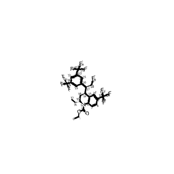 CCOC(=O)N1c2ccc(C(F)(F)F)cc2[C@H]([C@H](CF)c2cc(C(F)(F)F)cc(C(F)(F)F)c2)C[C@H]1CC